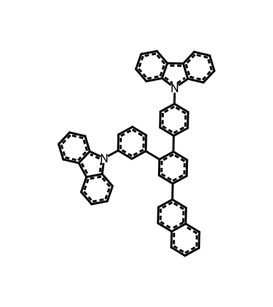 c1cc(-c2cc(-c3ccc4ccccc4c3)ccc2-c2ccc(-n3c4ccccc4c4ccccc43)cc2)cc(-n2c3ccccc3c3ccccc32)c1